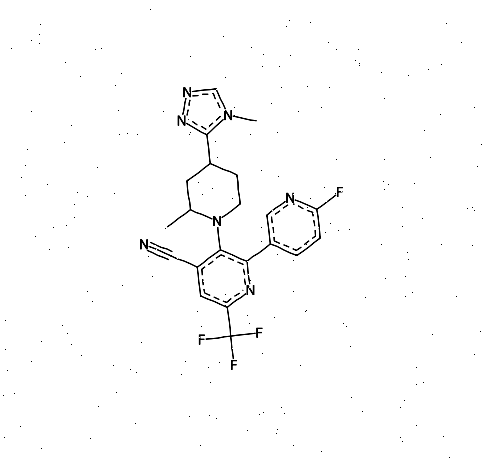 CC1CC(c2nncn2C)CCN1c1c(C#N)cc(C(F)(F)F)nc1-c1ccc(F)nc1